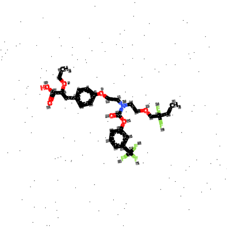 CCOC(Cc1ccc(OCCN(CCOCC(F)(F)CC)C(=O)Oc2cccc(C(F)(F)F)c2)cc1)C(=O)O